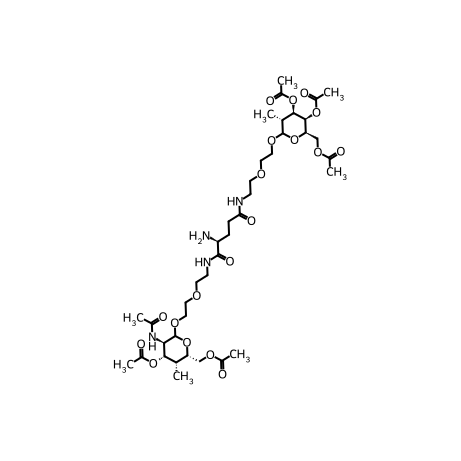 CC(=O)N[C@H]1C(OCCOCCNC(=O)[C@@H](N)CCC(=O)NCCOCCOC2O[C@H](COC(C)=O)[C@H](OC(C)=O)[C@H](OC(C)=O)[C@H]2C)O[C@H](COC(C)=O)[C@H](C)[C@@H]1OC(C)=O